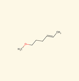 CC=CCCCOC